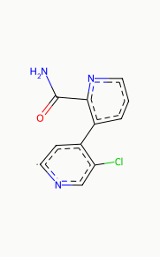 NC(=O)c1ncccc1-c1c[c]ncc1Cl